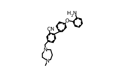 CN1CCCN(Cc2ccc(-c3ccc(Oc4ccccc4N)cc3)c(C#N)c2)CC1